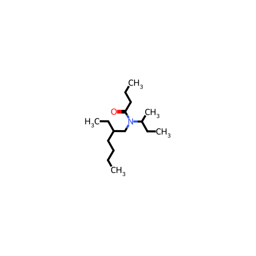 CCCCC(CC)CN(C(=O)CCC)C(C)CC